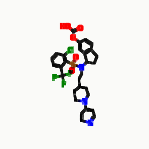 O=C(O)Oc1ccc2c(c1)C(N(CCC1CCN(c3ccncc3)CC1)S(=O)(=O)c1c(Cl)cccc1C(F)(F)F)CC2